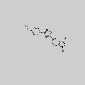 CC(C)n1cc(Cl)c2cc(-c3nc(-c4ccc(CO)cc4)no3)ccc21